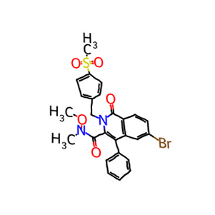 CON(C)C(=O)c1c(-c2ccccc2)c2cc(Br)ccc2c(=O)n1Cc1ccc(S(C)(=O)=O)cc1